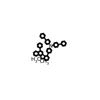 CC1(C)c2cccc(-c3ccc(N(c4ccc(-c5ccccc5)cc4)c4ccc(-c5ccccc5)cc4)cc3)c2-c2cc(-c3ccccc3)c3ccccc3c21